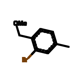 COCc1ccc(C)cc1Br